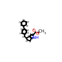 COC(=O)c1cc2c([nH]1)CCC2Cc1ccc(-c2ccccc2)cc1